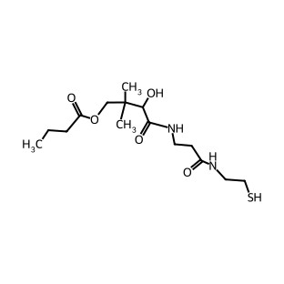 CCCC(=O)OCC(C)(C)C(O)C(=O)NCCC(=O)NCCS